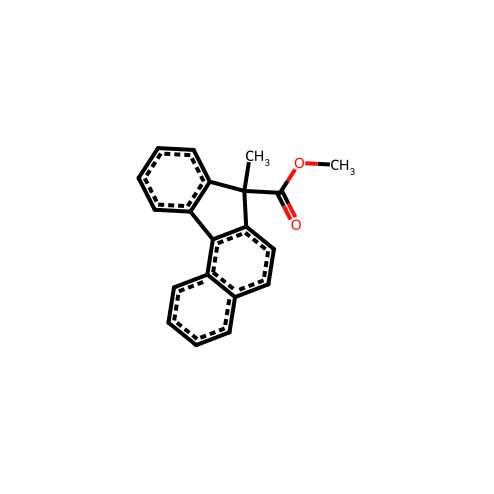 COC(=O)C1(C)c2ccccc2-c2c1ccc1ccccc21